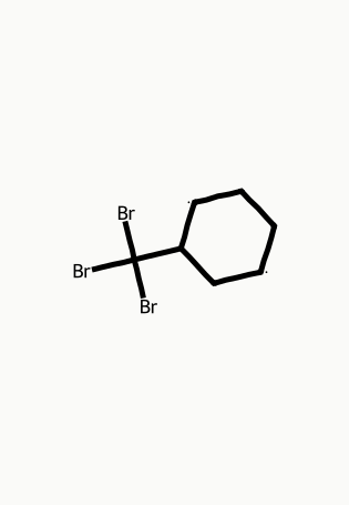 BrC(Br)(Br)C1[CH]CC[CH]C1